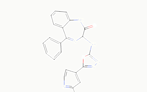 O=C1Nc2ccccc2C(c2ccccc2)=NC1Nc1nnc(-c2ccnc(F)c2)o1